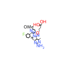 COc1cccc(-c2cc(F)ccc2[C@H]2Cc3nc(N)nc(C)c3/C(=N/OCCC[C@@H](O)CO)N2)n1